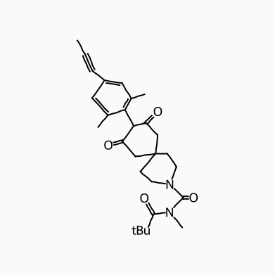 CC#Cc1cc(C)c(C2C(=O)CC3(CCN(C(=O)N(C)C(=O)C(C)(C)C)CC3)CC2=O)c(C)c1